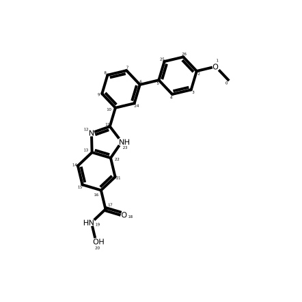 COc1ccc(-c2cccc(-c3nc4ccc(C(=O)NO)cc4[nH]3)c2)cc1